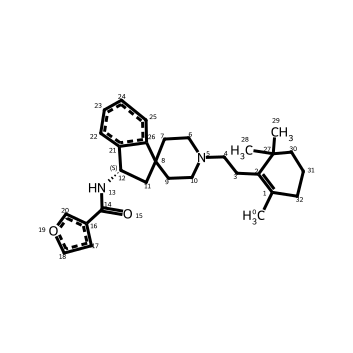 CC1=C(CCN2CCC3(CC2)C[C@H](NC(=O)c2ccoc2)c2ccccc23)C(C)(C)CCC1